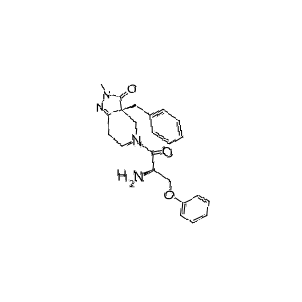 CN1N=C2CCN(C(=O)[C@H](N)COc3ccccc3)C[C@@]2(Cc2ccccc2)C1=O